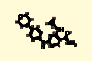 NC(=O)c1cnc(Nc2ccc(N3CCOCC3)cc2)nc1NC1CC1